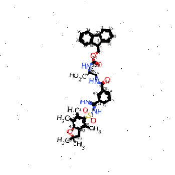 Cc1c(C)c(S(=O)(=O)NC(=N)c2cccc(C(=O)NC[C@H](NC(=O)OCC3c4ccccc4-c4ccccc43)C(=O)O)c2)c(C)c2c1OC(C)(C)C2